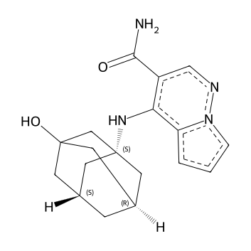 NC(=O)c1cnn2cccc2c1N[C@]12C[C@@H]3C[C@@H](CC(O)(C3)C1)C2